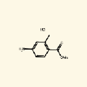 COC(=O)c1ccc(N)cc1C.Cl